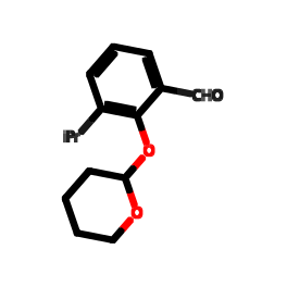 CC(C)c1cccc(C=O)c1OC1CCCCO1